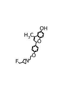 CC1=CC(c2ccc(OCCN3CC(CF)C3)cc2)Oc2ccc(O)cc21